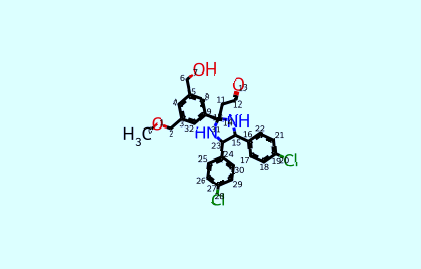 COCc1cc(CO)cc(C2(CC=O)NC(c3ccc(Cl)cc3)C(c3ccc(Cl)cc3)N2)c1